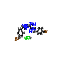 Cl.N=C(NN=Cc1ccc(Br)cc1)NN=Cc1ccc(Br)cc1